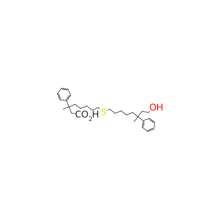 CC(CCO)(CCCCCSCCCCCC(C)(CC(=O)O)c1ccccc1)c1ccccc1